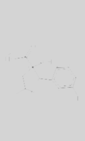 CC(C)CC(C)(Cc1cccc(F)c1)C(=O)O